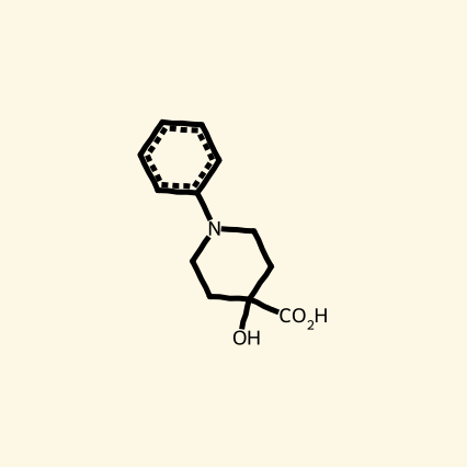 O=C(O)C1(O)CCN(c2ccccc2)CC1